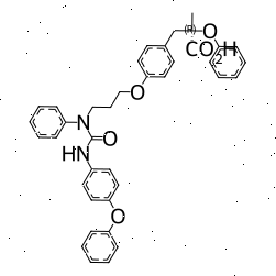 C[C@](Cc1ccc(OCCCN(C(=O)Nc2ccc(Oc3ccccc3)cc2)c2ccccc2)cc1)(Oc1ccccc1)C(=O)O